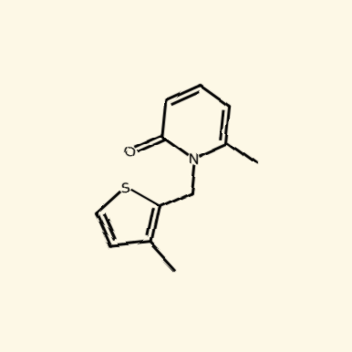 Cc1ccsc1Cn1c(C)cccc1=O